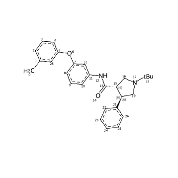 Cc1cccc(Oc2cccc(NC(=O)[C@@H]3CN(C(C)(C)C)C[C@H]3c3ccccc3)c2)c1